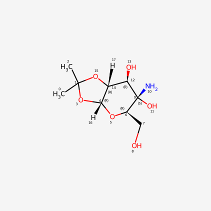 CC1(C)O[C@H]2O[C@H](CO)[C@@](N)(O)[C@H](O)[C@H]2O1